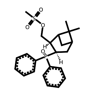 CC1(C)C2CC1[C@H](COS(C)(=O)=O)[C@H](P(=O)(c1ccccc1)c1ccccc1)C2